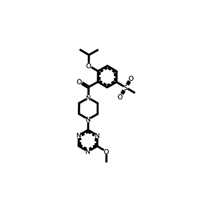 COc1ncnc(N2CCN(C(=O)c3cc(S(C)(=O)=O)ccc3OC(C)C)CC2)n1